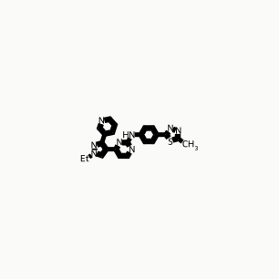 CCn1cc(-c2ccnc(Nc3ccc(-c4nnc(C)s4)cc3)n2)c(-c2cccnc2)n1